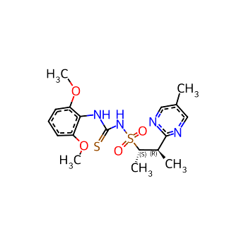 COc1cccc(OC)c1NC(=S)NS(=O)(=O)[C@@H](C)[C@H](C)c1ncc(C)cn1